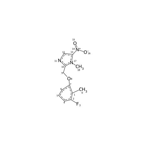 Cc1c(F)cccc1OCc1ncc([N+](=O)[O-])n1C